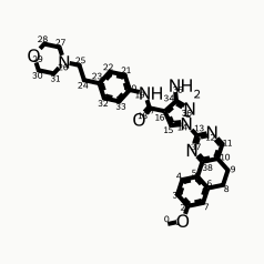 COc1ccc2c(c1)CCc1cnc(-n3cc(C(=O)Nc4ccc(CCN5CCOCC5)cc4)c(N)n3)nc1-2